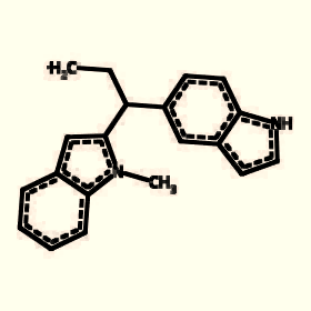 [CH2]CC(c1ccc2[nH]ccc2c1)c1cc2ccccc2n1C